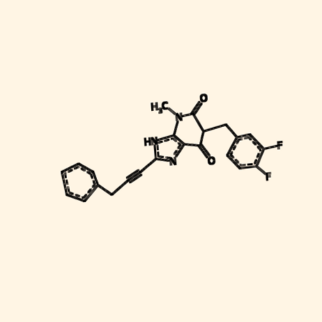 CN1C(=O)C(Cc2ccc(F)c(F)c2)C(=O)c2nc(C#CCc3ccccc3)[nH]c21